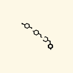 O=C(NC1CCC(CCN2CCC(C(=O)c3ccc(F)cc3)CC2)CC1)C1CCC(C(F)(F)F)CC1